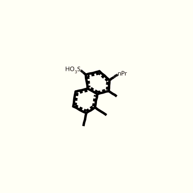 CCCc1cc(S(=O)(=O)O)c2ccc(C)c(C)c2c1C